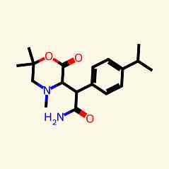 CC(C)c1ccc(C(C(N)=O)C2C(=O)OC(C)(C)CN2C)cc1